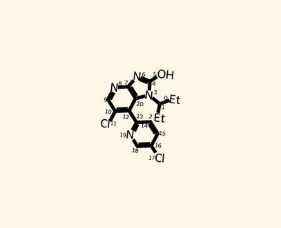 CCC(CC)n1c(O)nc2ncc(Cl)c(-c3ccc(Cl)cn3)c21